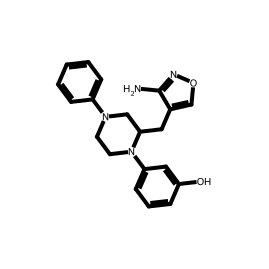 Nc1nocc1CC1CN(c2ccccc2)CCN1c1cccc(O)c1